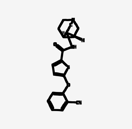 N#Cc1ccccc1Oc1ccc(C(=O)N[C@H]2CN3CCC2CC3)s1